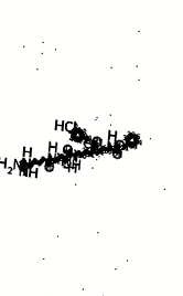 Cl.N=C(N)NCCCCC(=O)NCCC(O)C(=O)NCCCCN(CCCNC(=O)OCc1ccccc1)C(=O)OCc1ccccc1